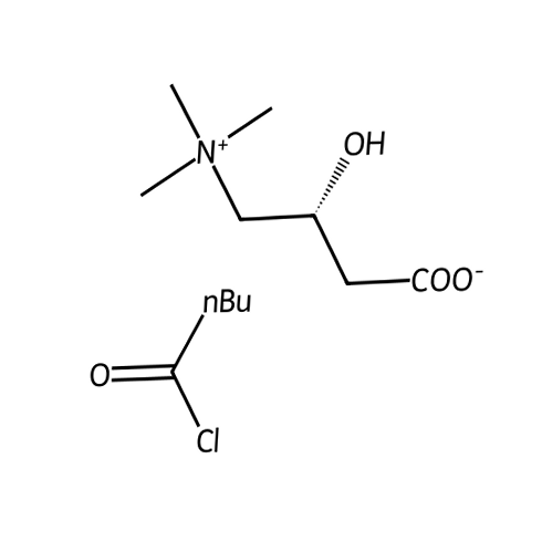 CCCCC(=O)Cl.C[N+](C)(C)C[C@H](O)CC(=O)[O-]